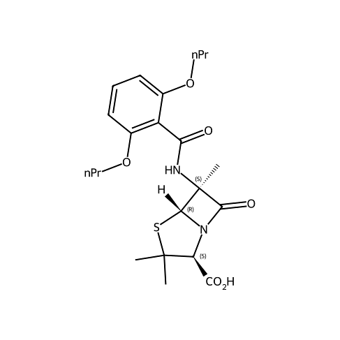 CCCOc1cccc(OCCC)c1C(=O)N[C@@]1(C)C(=O)N2[C@@H](C(=O)O)C(C)(C)S[C@@H]21